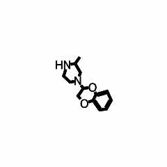 CC1CN(C2COc3ccccc3O2)CCN1